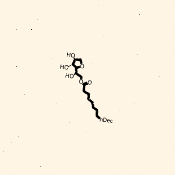 CCCCCCCCCCCCCCCCCC(=O)OC[C@@H](O)C1OC[C@H](O)[C@H]1O